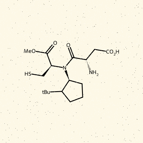 COC(=O)[C@H](CS)N(C(=O)[C@@H](N)CC(=O)O)[C@H]1CCCC1C(C)(C)C